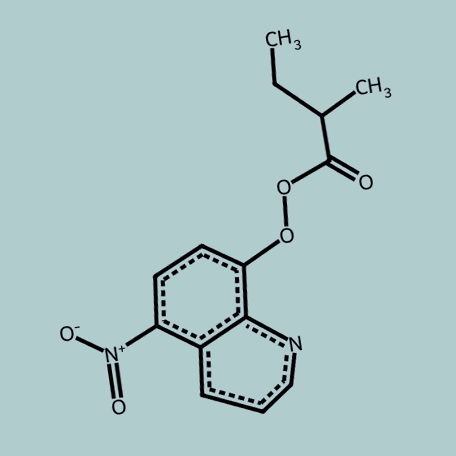 CCC(C)C(=O)OOc1ccc([N+](=O)[O-])c2cccnc12